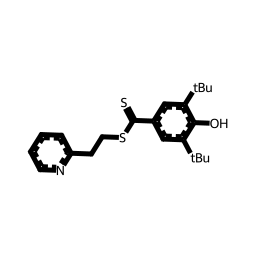 CC(C)(C)c1cc(C(=S)SCCc2ccccn2)cc(C(C)(C)C)c1O